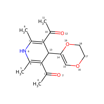 CC(=O)C1=C(C)NC(C)=C(C(C)=O)C1C1=COCCO1